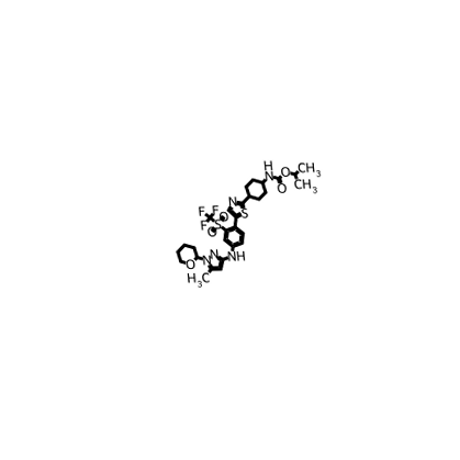 Cc1cc(Nc2ccc(-c3cnc(C4CCC(NC(=O)OC(C)C)CC4)s3)c(S(=O)(=O)C(F)(F)F)c2)nn1C1CCCCO1